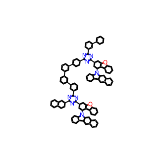 c1ccc(-c2cccc(-c3nc(-c4ccc(-c5cccc(-c6cccc(-c7cccc(-c8nc(-c9ccc%10ccccc%10c9)nc(-c9cc(-n%10c%11ccccc%11c%11cc%12ccccc%12cc%11%10)c%10c(c9)oc9ccccc9%10)n8)c7)c6)c5)cc4)nc(-c4cc(-n5c6ccccc6c6cc7ccccc7cc65)c5c(c4)oc4ccccc45)n3)c2)cc1